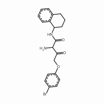 NC(C(=O)COc1ccc(Br)cc1)C(=O)NC1CCCc2ccccc21